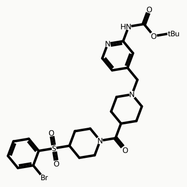 CC(C)(C)OC(=O)Nc1cc(CN2CCC(C(=O)N3CCC(S(=O)(=O)c4ccccc4Br)CC3)CC2)ccn1